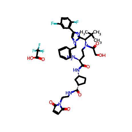 CC(C)(C)[C@H](c1nc(-c2cc(F)ccc2F)cn1Cc1ccccc1)N(CC[C@H](N)C(=O)N[C@@H]1CC[C@H](C(=O)NCCN2C(=O)C=CC2=O)C1)C(=O)CO.O=C(O)C(F)(F)F